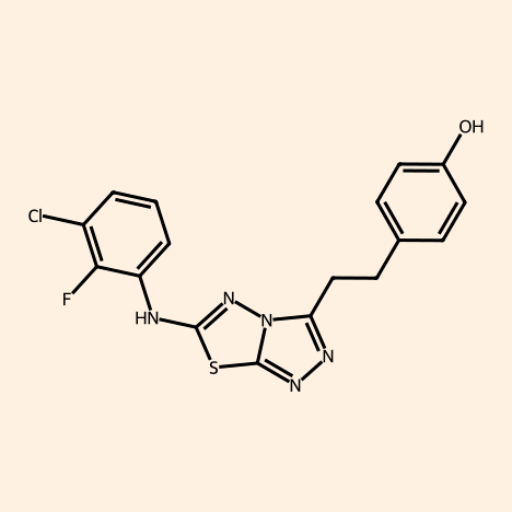 Oc1ccc(CCc2nnc3sc(Nc4cccc(Cl)c4F)nn23)cc1